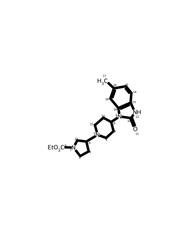 CCOC(=O)N1CCC(N2CCC(n3c(=O)[nH]c4ccc(C)cc43)CC2)C1